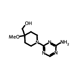 COC1(CO)CCN(c2ncnc(N)n2)CC1